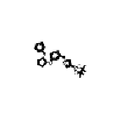 CC1(C)OB(c2cnn(Cc3cccc(O[C@@H]4CCC[C@@H]4Cc4ccccc4)c3)c2)OC1(C)C